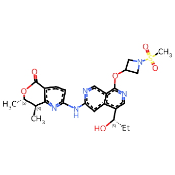 CC[C@H](O)c1cnc(OC2CN(S(C)(=O)=O)C2)c2cnc(Nc3ccc4c(n3)[C@@H](C)[C@H](C)OC4=O)cc12